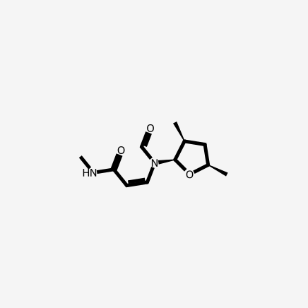 CNC(=O)/C=C\N(C=O)[C@@H]1O[C@H](C)C[C@@H]1C